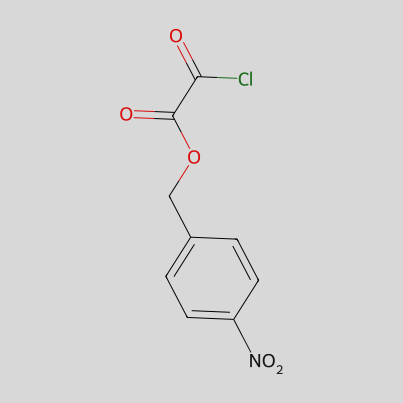 O=C(Cl)C(=O)OCc1ccc([N+](=O)[O-])cc1